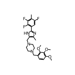 COc1ccc(CN2CCN(Cc3[nH]c(-c4cc(F)c(C)c(F)c4F)nc3C)CC2)c(OC)c1OC